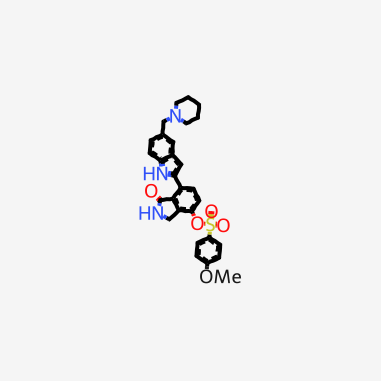 COc1ccc(S(=O)(=O)Oc2ccc(-c3cc4cc(CN5CCCCC5)ccc4[nH]3)c3c2CNC3=O)cc1